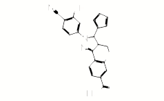 Cc1cc(N2N=C3c4ccc(C(=O)O)cc4OCC3C2C2=C=CC=C2)ccc1C#N